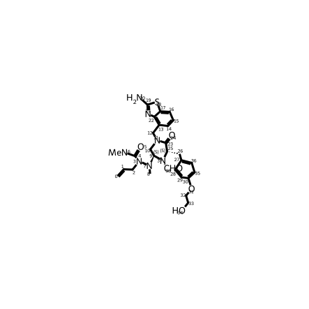 C=CCN(C(=O)NC)N(C)[C@H]1CN(Cc2cccc3sc(N)nc23)C(=O)[C@H](Cc2ccc(OCCO)cc2)N1C=O